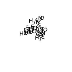 CCN(c1cccc2cc(-c3ncc(CN(C)Cc4ccccn4)s3)[nH]c12)S(=O)(=O)c1cccs1.O=C(O)C(F)(F)F.O=C(O)C(F)(F)F